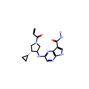 C=CC(=O)N1CC(Nc2cnc3[nH]cc(C(=O)NCC)c3n2)[C@H](C2CC2)C1